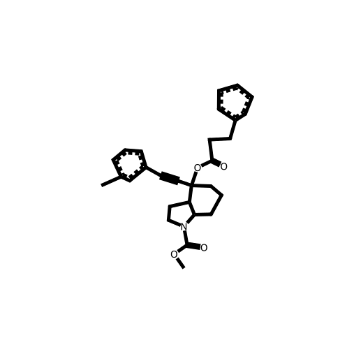 COC(=O)N1CCC2C1CCCC2(C#Cc1cccc(C)c1)OC(=O)CCc1ccccc1